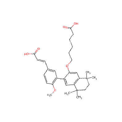 COc1ccc(/C=C/C(=O)O)cc1-c1cc2c(cc1OCCCCCC(=O)O)C(C)(C)CCC2(C)C